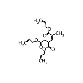 C=CCOC(=O)CC(C=C(C)C(=O)OCC=C)C(=O)OCC=C